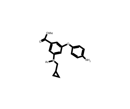 COC(=O)c1cc(Oc2ccc(N)cc2)cc(N(CC2CC2)C(C)=O)c1